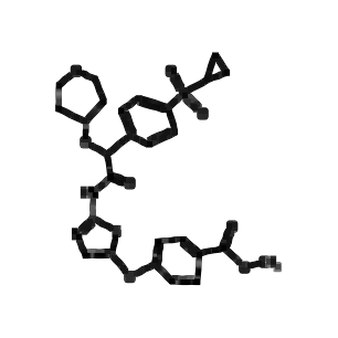 COC(=O)c1ccc(Oc2cnc(NC(=O)C(OC3CCOCC3)c3ccc(S(=O)(=O)C4CC4)cc3)s2)cc1